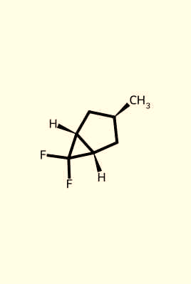 C[C@@H]1C[C@@H]2[C@H](C1)C2(F)F